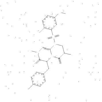 CC(C)N1C=C2N(C(=O)C(N)CN2S(=O)(=O)c2cc(OC(F)(F)F)ccc2Cl)C(Cc2ccc(Cl)cc2)C1=O